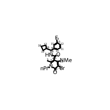 CCCn1c(C)c(C(=O)N[C@H](c2cccc(F)c2)C2CCC2)c(NC)c(Br)c1=O